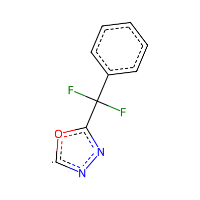 FC(F)(c1ccccc1)c1nn[c]o1